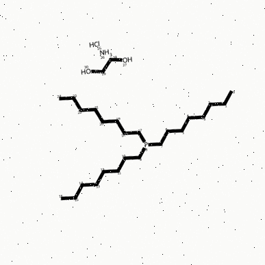 CCCCCCCCP(CCCCCCCC)CCCCCCCC.Cl.N.OCCO